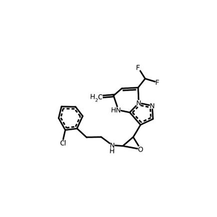 C=C1C=C(C(F)F)n2ncc(C3OC3NCCc3ccccc3Cl)c2N1